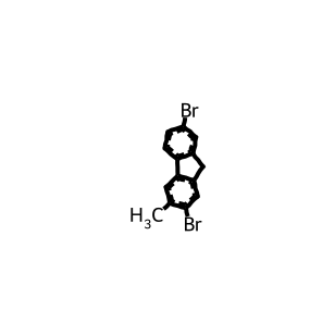 Cc1cc2c(cc1Br)Cc1cc(Br)ccc1-2